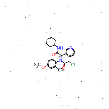 N#Cc1cc(OC(F)(F)F)ccc1N(C(=O)CCl)[C@@H](C(=O)NC1CCCCC1)c1cccnc1